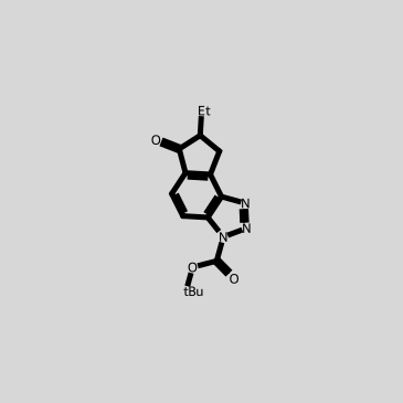 CCC1Cc2c(ccc3c2nnn3C(=O)OC(C)(C)C)C1=O